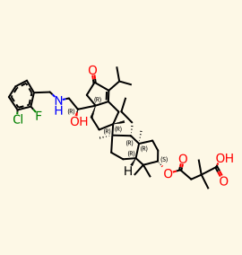 CCC[C@@H]1[C@@]2(C)CC[C@H](OC(=O)CC(C)(C)C(=O)O)C(C)(C)[C@@H]2CC[C@@]1(C)[C@]1(C)CC[C@@]2([C@@H](O)CNCc3cccc(Cl)c3F)CC(=O)C(C(C)C)=C2C1